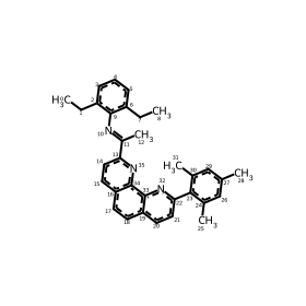 CCc1cccc(CC)c1N=C(C)c1ccc2ccc3ccc(-c4c(C)cc(C)cc4C)nc3c2n1